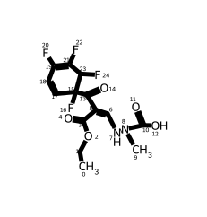 CCOC(=O)C(=CNN(C)C(=O)O)C(=O)C1(F)C=CC(F)=C(F)C1F